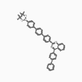 CC1(C)OB(c2ccc(-c3ccc(-c4ccc(-c5nc(-c6ccc(-c7ccccc7)cc6)c6ccccc6n5)cc4)cc3)cc2)OC1(C)C